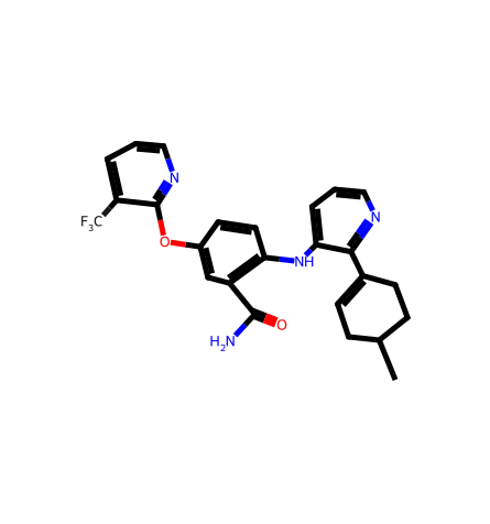 CC1CC=C(c2ncccc2Nc2ccc(Oc3ncccc3C(F)(F)F)cc2C(N)=O)CC1